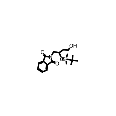 CC(C)(C)[Si](C)(C)OC(CCO)CN1C(=O)c2ccccc2C1=O